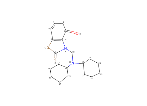 O=C1CC=Cc2sc(=S)n(CN(C3CCCCC3)C3CCCCC3)c21